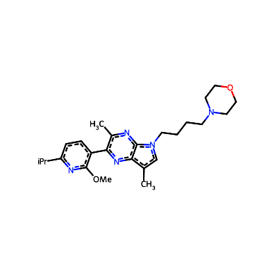 COc1nc(C(C)C)ccc1-c1nc2c(C)cn(CCCCN3CCOCC3)c2nc1C